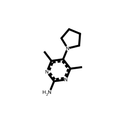 Cc1nc(N)nc(C)c1N1CCCC1